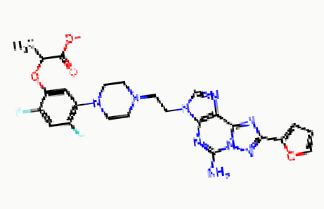 CC(Oc1cc(N2CCN(CCn3cnc4c3nc(N)n3nc(-c5ccco5)nc43)CC2)c(F)cc1F)C(=O)O